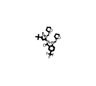 Cn1c(C(C)(C)C)cc(=NC(=O)c2cc(C(F)(F)F)ccc2NC[C@H]2CCCO2)n1C[C@H]1CCCO1